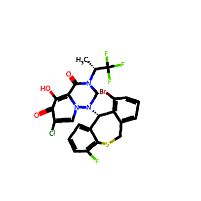 C[C@@H](N1CN([C@H]2c3cccc(F)c3SCc3cccc(Br)c32)n2cc(Cl)c(=O)c(O)c2C1=O)C(F)(F)F